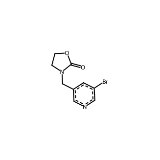 O=C1OCCN1Cc1cncc(Br)c1